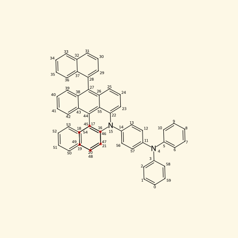 c1ccc(N(c2ccccc2)c2ccc(N(c3ccccc3)c3cccc4c(-c5cccc6ccccc56)c5ccccc5c(-c5cccc6ccccc56)c34)cc2)cc1